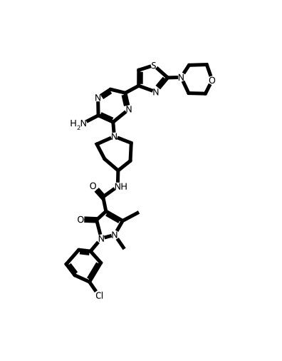 Cc1c(C(=O)NC2CCN(c3nc(-c4csc(N5CCOCC5)n4)cnc3N)CC2)c(=O)n(-c2cccc(Cl)c2)n1C